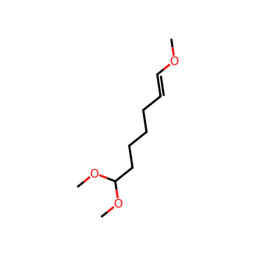 COC=CCCCCC(OC)OC